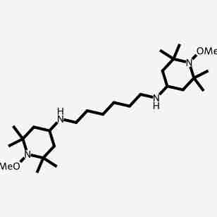 CON1C(C)(C)CC(NCCCCCCNC2CC(C)(C)N(OC)C(C)(C)C2)CC1(C)C